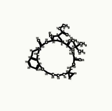 COC(=O)C1C[C@@H]2CN1C(=O)[C@H](C(C)(C)C)NC(=O)OCC1(CCCCOc3cccc4c3CN(C4)C(=O)O2)CC1